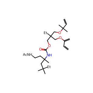 C=CC(=C)OCC(CC)(COC(=O)NC(C)(CCNC(C)=O)CC(C)(C)CC)COC(C)(C)C=C